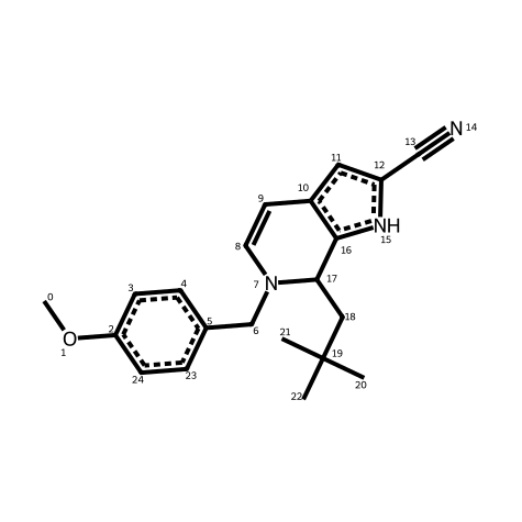 COc1ccc(CN2C=Cc3cc(C#N)[nH]c3C2CC(C)(C)C)cc1